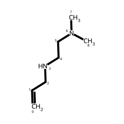 C=CCNCCN(C)C